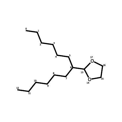 CCCCCCC(CCCCCC)C1OCCO1